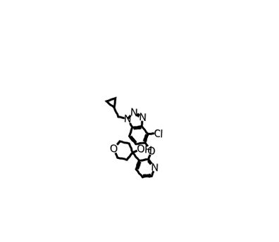 OC1(c2cccnc2Oc2ccc3c(nnn3CC3CC3)c2Cl)CCOCC1